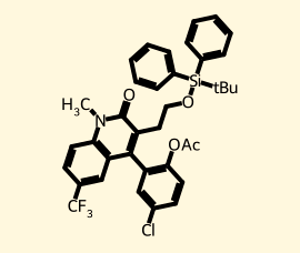 CC(=O)Oc1ccc(Cl)cc1-c1c(CCO[Si](c2ccccc2)(c2ccccc2)C(C)(C)C)c(=O)n(C)c2ccc(C(F)(F)F)cc12